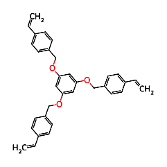 C=Cc1ccc(COc2cc(OCc3ccc(C=C)cc3)cc(OCc3ccc(C=C)cc3)c2)cc1